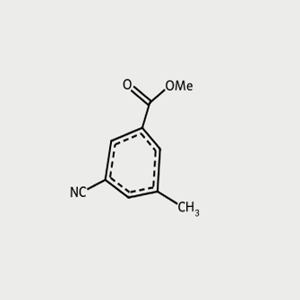 COC(=O)c1cc(C)cc(C#N)c1